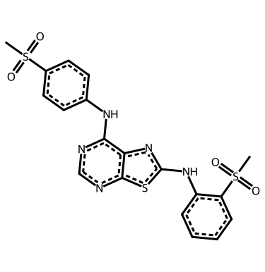 CS(=O)(=O)c1ccc(Nc2ncnc3sc(Nc4ccccc4S(C)(=O)=O)nc23)cc1